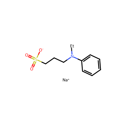 CCN(CCCS(=O)(=O)[O-])c1ccccc1.[Na+]